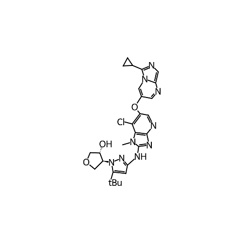 Cn1c(Nc2cc(C(C)(C)C)n([C@H]3COC[C@@H]3O)n2)nc2ncc(Oc3cnc4cnc(C5CC5)n4c3)c(Cl)c21